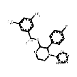 C[C@@H](OC1OCCN(c2nnn[nH]2)C1c1ccc(F)cc1)c1cc(C(F)(F)F)cc(C(F)(F)F)c1